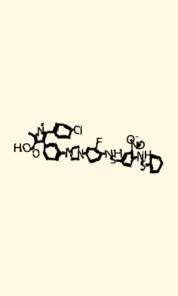 Cc1c(C(=O)O)c(-c2cccc(N3CCN(c4ccc(NSc5ccc(NSC6=CCCC=C6)c([N+](=O)[O-])c5)c(F)c4)CC3)c2)c(-c2ccc(Cl)cc2)n1C